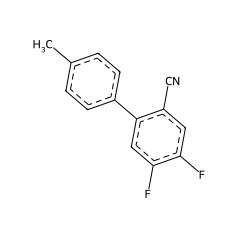 Cc1ccc(-c2cc(F)c(F)cc2C#N)cc1